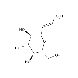 O=C(O)C=CC1O[C@H](CO)[C@@H](O)[C@H](O)[C@H]1O